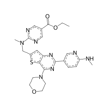 CCOC(=O)c1cnc(N(C)Cc2cc3nc(-c4ccc(NC)nc4)nc(N4CCOCC4)c3s2)nc1